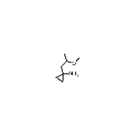 COC(C)CC1(N)CC1